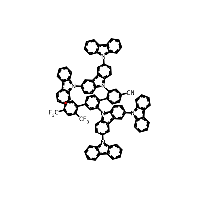 N#Cc1ccc(-c2ccc(-c3ccc(C(F)(F)F)cc3C(F)(F)F)cc2-n2c3ccc(-n4c5ccccc5c5ccccc54)cc3c3cc(-n4c5ccccc5c5ccccc54)ccc32)c(-n2c3ccc(-n4c5ccccc5c5ccccc54)cc3c3cc(-n4c5ccccc5c5ccccc54)ccc32)c1